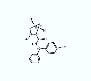 CC(=O)N1C[C@@H]2C[C@@H]2[C@H]1C(=O)N[C@@H](c1ccccc1)c1ccc(C(C)C)cc1